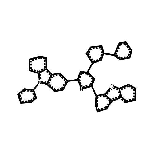 c1ccc(-c2cccc(-c3cc(-c4ccc5c(c4)c4ccccc4n5-c4ccccc4)nc(-c4cccc5c4oc4ccccc45)c3)c2)cc1